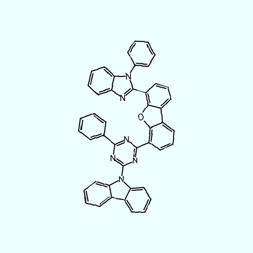 c1ccc(-c2nc(-c3cccc4c3oc3c(-c5nc6ccccc6n5-c5ccccc5)cccc34)nc(-n3c4ccccc4c4ccccc43)n2)cc1